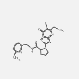 CCc1nc2sc(N3CCCC3C(=O)NCc3cccc(C)n3)nn2c(=O)c1F